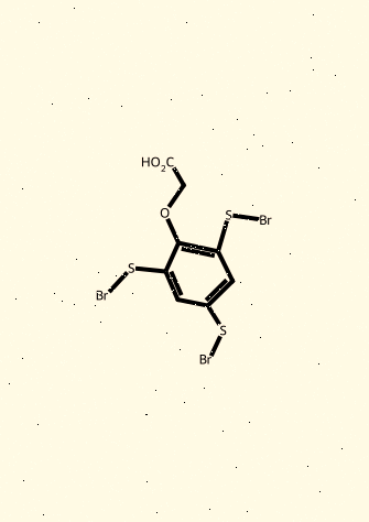 O=C(O)COc1c(SBr)cc(SBr)cc1SBr